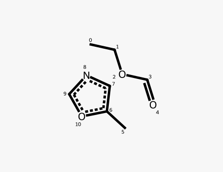 CCOC=O.Cc1cnco1